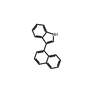 [c]1[nH]c2ccccc2c1-c1cccc2ccccc12